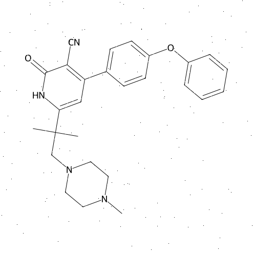 CN1CCN(CC(C)(C)c2cc(-c3ccc(Oc4ccccc4)cc3)c(C#N)c(=O)[nH]2)CC1